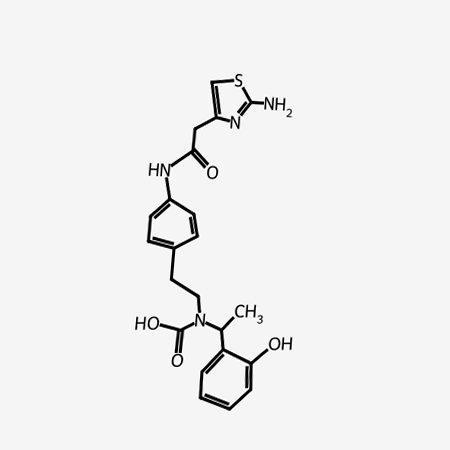 CC(c1ccccc1O)N(CCc1ccc(NC(=O)Cc2csc(N)n2)cc1)C(=O)O